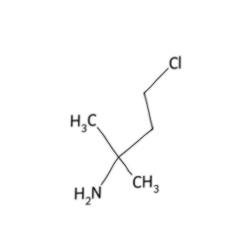 CC(C)(N)CCCl